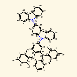 Cc1cc(C)c(B2c3ccccc3B(c3c(C)cc(C)cc3C)c3cc(-n4c5ccccc5c5cc(-n6c7ccccc7c7ccccc76)ccc54)ccc32)c(C)c1